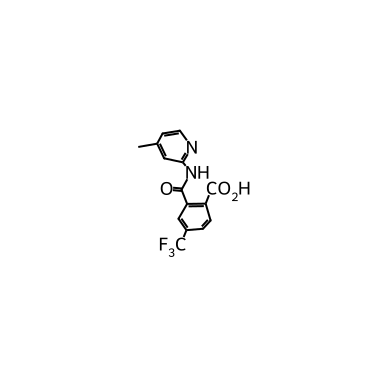 Cc1ccnc(NC(=O)c2cc(C(F)(F)F)ccc2C(=O)O)c1